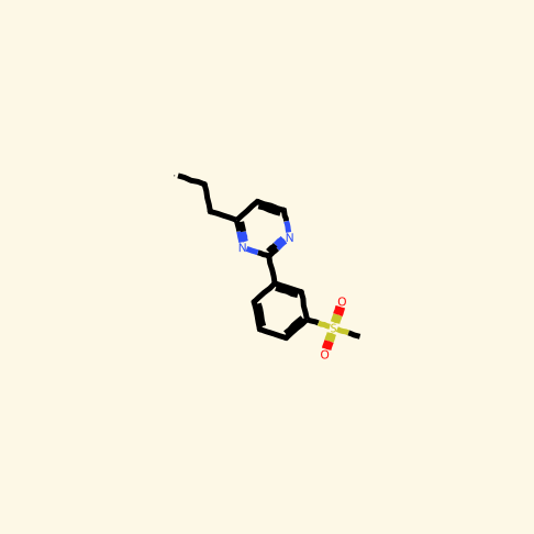 [CH2]CCc1ccnc(-c2cccc(S(C)(=O)=O)c2)n1